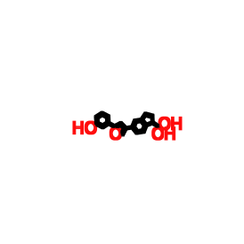 Oc1cccc(-c2cc(-c3ccc4c(c3)C=CC4C(O)O)co2)c1